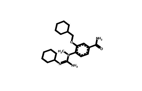 CN(C(N)=NC1CCCCC1)c1ccc(C(N)=O)cc1OCC1CCCCC1